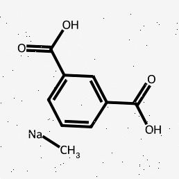 O=C(O)c1cccc(C(=O)O)c1.[CH3][Na]